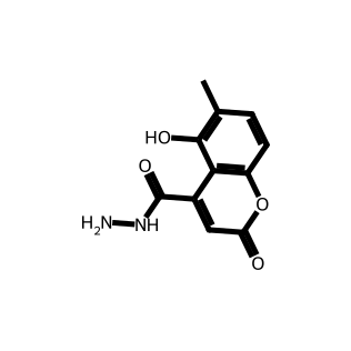 Cc1ccc2oc(=O)cc(C(=O)NN)c2c1O